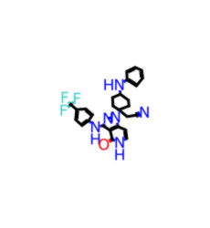 N#CCC1(n2nc(Nc3ccc(C(F)(F)F)cc3)c3c(=O)[nH]ccc32)CCC(Nc2ccccc2)CC1